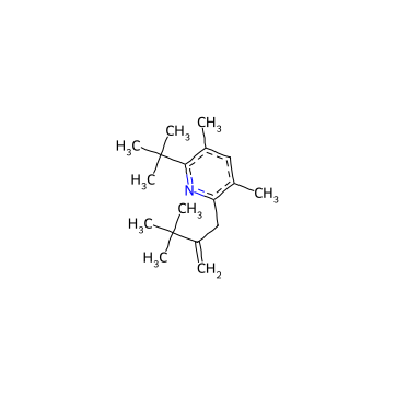 C=C(Cc1nc(C(C)(C)C)c(C)cc1C)C(C)(C)C